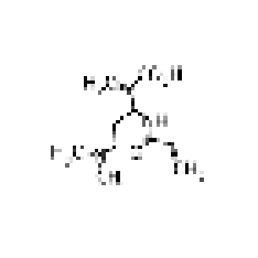 C=CC(=O)NC(CCN(C)C)C(=C)C(=O)O